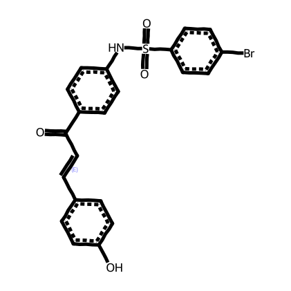 O=C(/C=C/c1ccc(O)cc1)c1ccc(NS(=O)(=O)c2ccc(Br)cc2)cc1